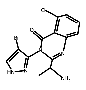 CC(N)c1nc2cccc(Cl)c2c(=O)n1-c1n[nH]cc1Br